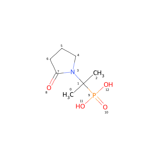 CC(C)(N1CCCC1=O)P(=O)(O)O